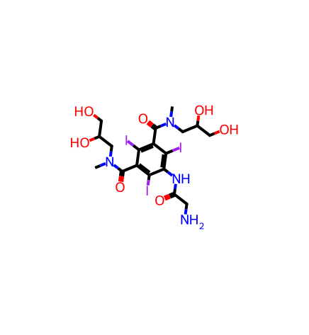 CN(CC(O)CO)C(=O)c1c(I)c(NC(=O)CN)c(I)c(C(=O)N(C)CC(O)CO)c1I